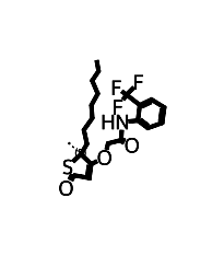 CCCCCCCC[C@]1(C)SC(=O)C=C1OCC(=O)Nc1ccccc1C(F)(F)F